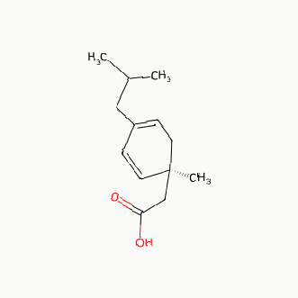 CC(C)CC1=CC[C@@](C)(CC(=O)O)C=C1